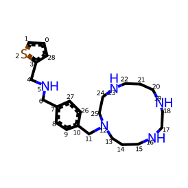 c1csc(CNCc2ccc(CN3CCCNCCNCCCNCC3)cc2)c1